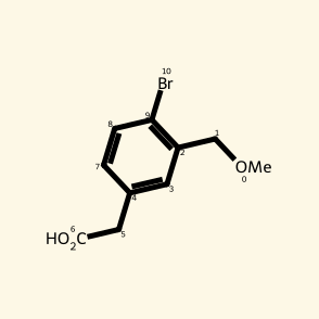 COCc1cc(CC(=O)O)ccc1Br